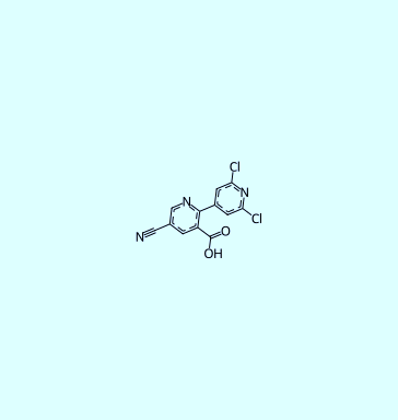 N#Cc1cnc(-c2cc(Cl)nc(Cl)c2)c(C(=O)O)c1